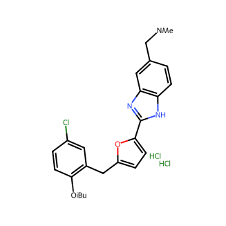 CNCc1ccc2[nH]c(-c3ccc(Cc4cc(Cl)ccc4OCC(C)C)o3)nc2c1.Cl.Cl